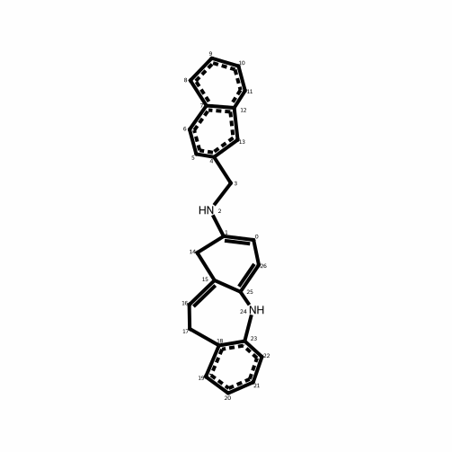 C1=C(NCc2ccc3ccccc3c2)CC2=CCc3ccccc3NC2=C1